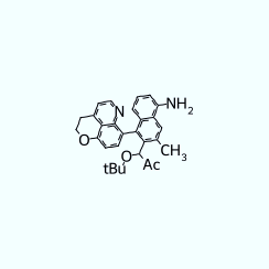 CC(=O)C(OC(C)(C)C)c1c(C)cc2c(N)cccc2c1-c1ccc2c3c(ccnc13)CCO2